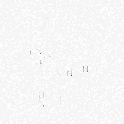 CN1CCN(c2cc(NC(=O)Nc3ccc(Br)cc3)cc(-c3c(Br)cnn3C)c2)CC1